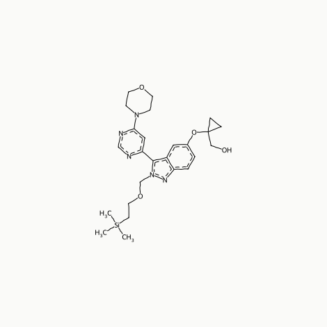 C[Si](C)(C)CCOCn1nc2ccc(OC3(CO)CC3)cc2c1-c1cc(N2CCOCC2)ncn1